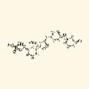 NC1C(c2cc(Cc3ccc(Oc4cccc(Cl)c4)nc3)no2)=CC=CN1COP(=O)(O)O